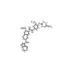 COc1cc2ccc(Nc3cnc4cccnn34)cc2cc1C(=O)Nc1ccc(CN2CCN(C)CC2)c(C(F)(F)F)c1